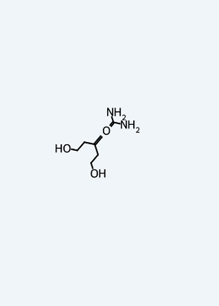 C=C(CCO)CCO.NC(N)=O